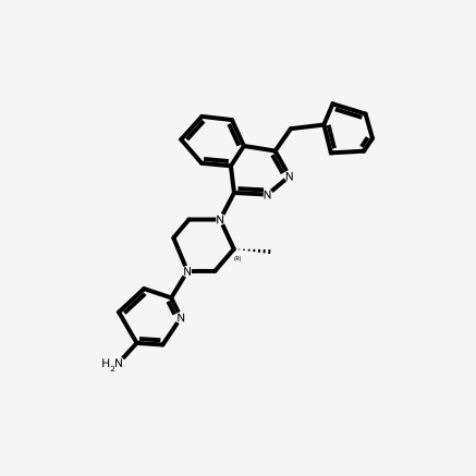 C[C@@H]1CN(c2ccc(N)cn2)CCN1c1nnc(Cc2ccccc2)c2ccccc12